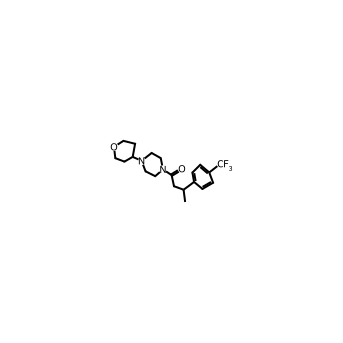 CC(CC(=O)N1CCN(C2CCOCC2)CC1)c1ccc(C(F)(F)F)cc1